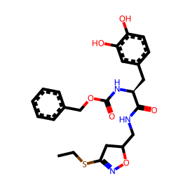 CCSC1=NOC(CNC(=O)[C@H](Cc2ccc(O)c(O)c2)NC(=O)OCc2ccccc2)C1